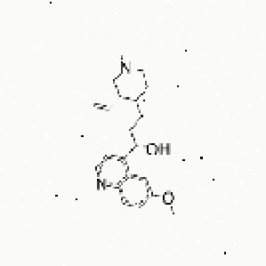 C=C[C@@H]1CN(C)CCC1CC[C@H](O)c1ccnc2ccc(OC)cc12